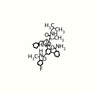 CC[C@H](NC[C@H](Cc1ccccc1)NC(=O)c1cc(C(=O)NC(C)c2ccc(F)cc2)cc(-c2ccccc2C(N)=O)c1)C(=O)NCC(C)C